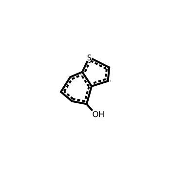 Oc1cccc2sc[c]c12